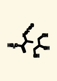 C=C(C(=O)O)C(C)N=C=O.OCC(O)CO